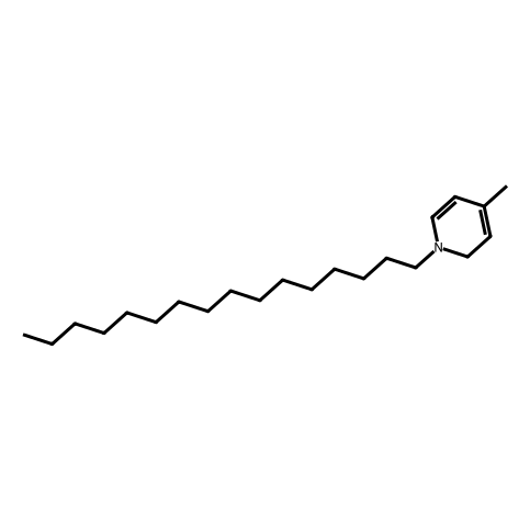 CCCCCCCCCCCCCCCCN1C=CC(C)=CC1